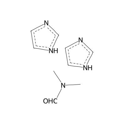 CN(C)C=O.c1c[nH]cn1.c1c[nH]cn1